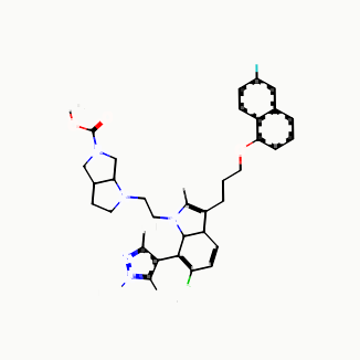 Cc1nn(C)c(C)c1C1=C(Cl)C=CC2C(CCCOc3cccc4cc(F)ccc34)=C(C(=O)O)N(CCN3CCC4CN(C(=O)OC(C)(C)C)CC43)C12